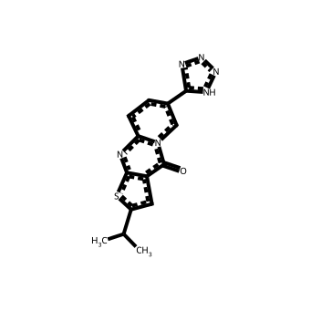 CC(C)c1cc2c(=O)n3cc(-c4nnn[nH]4)ccc3nc2s1